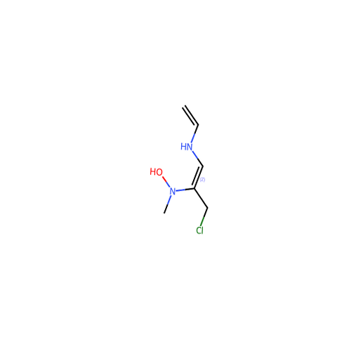 C=CN/C=C(/CCl)N(C)O